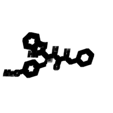 COc1ccc(C[C@@H](NC(=O)NCC2CCCCC2)c2nc3ccccc3[nH]2)cc1